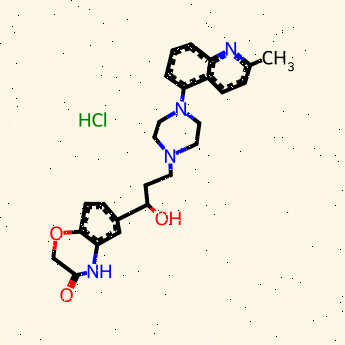 Cc1ccc2c(N3CCN(CCC(O)c4ccc5c(c4)NC(=O)CO5)CC3)cccc2n1.Cl